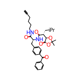 C#CCCCCNC(=O)[C@H](Cc1ccc(C(=O)c2ccccc2)cc1)NC(=O)[C@H](CC(C)C)C1OC(C)(C)OC1=O